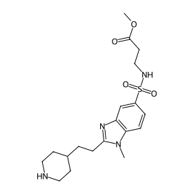 COC(=O)CCNS(=O)(=O)c1ccc2c(c1)nc(CCC1CCNCC1)n2C